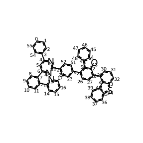 c1ccc(-c2cc(-c3ccccc3-c3ccccn3)nc(-c3ccc(-c4ccc(-c5cccc6sc7ccccc7c56)c5oc6ccccc6c45)cc3)n2)cc1